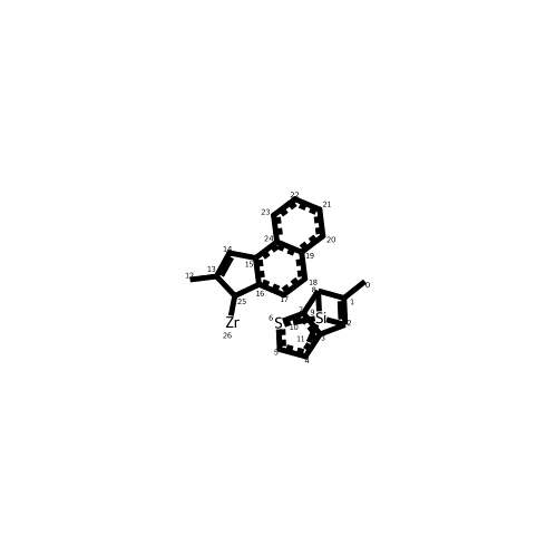 CC1=C2c3ccsc3C1[Si]2(C)C.CC1=Cc2c(ccc3ccccc23)[CH]1[Zr]